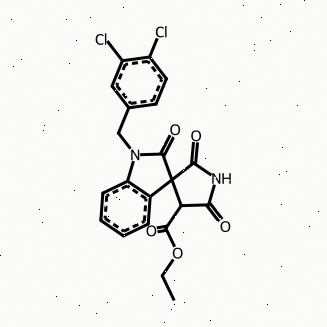 CCOC(=O)C1C(=O)NC(=O)C12C(=O)N(Cc1ccc(Cl)c(Cl)c1)c1ccccc12